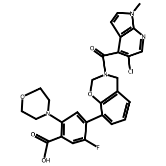 Cn1ccc2c(C(=O)N3COc4c(cccc4-c4cc(N5CCOCC5)c(C(=O)O)cc4F)C3)c(Cl)cnc21